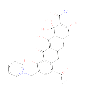 CC(=O)c1cc(C[n+]2ccccc2)c(O)c2c1CC1CC3CC(O)=C(C(N)=O)C(O)(O)C3C(O)=C1C2=O